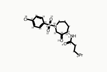 CC(C)C[CH]C(=O)N[C@H]1CCCN(S(=O)(=O)c2ccc(Cl)cc2)CC1=O